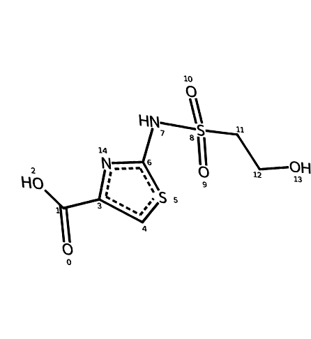 O=C(O)c1csc(NS(=O)(=O)CCO)n1